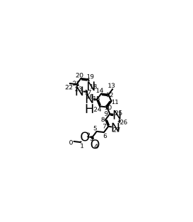 CCOC(=O)CCc1cc(-c2cc(C)cc(Nc3nccc(C)n3)c2)ncn1